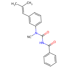 CC(C)=Cc1cccc(N(C#N)C(=O)NC(=O)c2ccccc2)c1